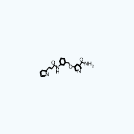 NC(=O)c1cncc(OCc2cccc(NC(=O)C=Cc3ccccn3)c2)c1